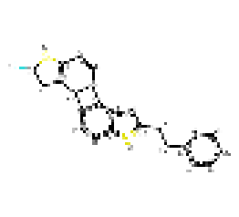 FC1CC2=C(C=CC3c4c(ccc5sc(CCc6ccccc6)cc45)C23)S1